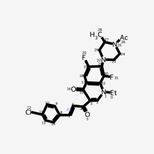 CCn1cc(C(=O)/C=C/c2ccc(Cl)cc2)c(=O)c2cc(F)c(N3CCN(C(C)=O)C(C)C3)c(F)c21